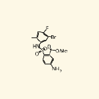 COC(=O)c1cc(N)ccc1S(=O)(=O)Nc1cc(Br)c(F)cc1C